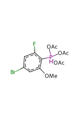 COc1cc(Br)cc(F)c1[PH](OC(C)=O)(OC(C)=O)OC(C)=O